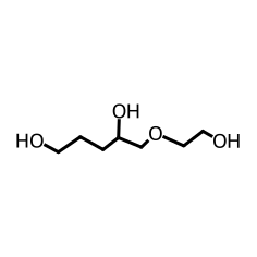 OCCCC(O)COCCO